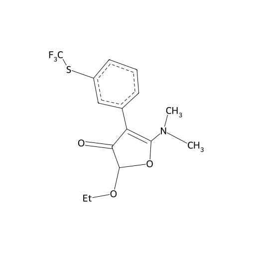 CCOC1OC(N(C)C)=C(c2cccc(SC(F)(F)F)c2)C1=O